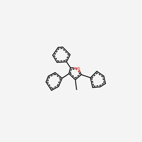 [CH2]c1c(-c2ccccc2)oc(-c2ccccc2)c1-c1ccccc1